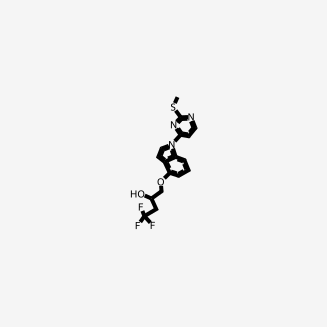 CSc1nccc(-n2ccc3c(OCC(O)CC(F)(F)F)cccc32)n1